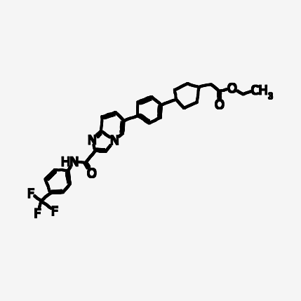 CCOC(=O)CC1CCC(c2ccc(-c3ccc4nc(C(=O)Nc5ccc(C(F)(F)F)cc5)cn4c3)cc2)CC1